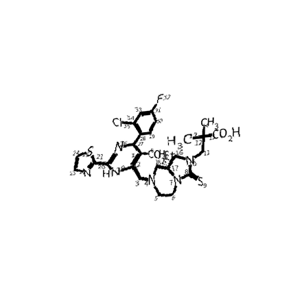 CCOC(=O)C1=C(CN2CCN3C(=S)N(CC(C)(C)C(=O)O)C[C@@H]3C2)NC(c2nccs2)=NC1c1ccc(F)cc1Cl